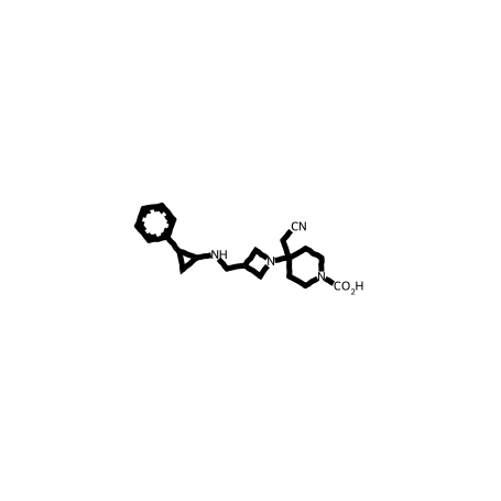 N#CCC1(N2CC(CNC3CC3c3ccccc3)C2)CCN(C(=O)O)CC1